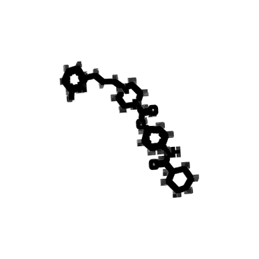 Cc1cccc(CCCN2CCN(C(=O)Oc3ccc(NC(=O)C4CCCCC4)cc3)CC2)n1